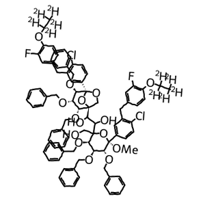 [2H]C([2H])([2H])C([2H])([2H])Oc1ccc(Cc2cc([C@]34OC[C@@](C(O)C(O)C5(CO)O[C@@](OC)(c6ccc(Cl)c(Cc7ccc(OC([2H])([2H])C([2H])([2H])[2H])c(F)c7)c6)[C@H](OCc6ccccc6)[C@@H](OCc6ccccc6)[C@H]5OCc5ccccc5)(O3)[C@H](OCc3ccccc3)[C@H](OCc3ccccc3)[C@H]4OCc3ccccc3)ccc2Cl)cc1F